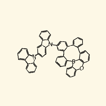 c1ccc2c(c1)Oc1cccc3c1B2c1ccccc1-c1cc(-n2c4ccccc4c4cc(-n5c6ccccc6c6ccccc65)ccc42)ccc1-c1ccccc1-3